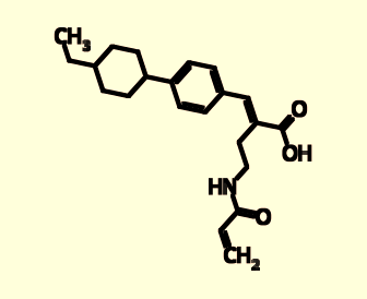 C=CC(=O)NCC/C(=C\c1ccc(C2CCC(CC)CC2)cc1)C(=O)O